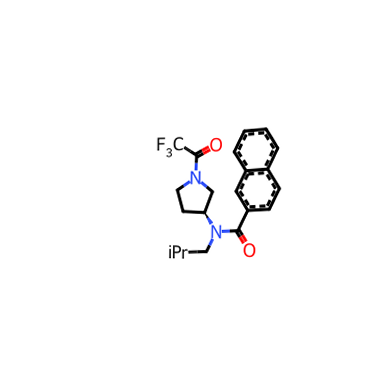 CC(C)CN(C(=O)c1ccc2ccccc2c1)[C@H]1CCN(C(=O)C(F)(F)F)C1